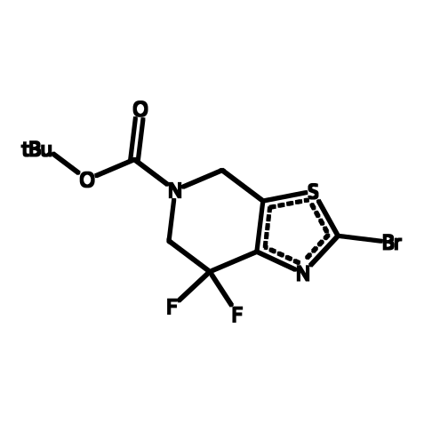 CC(C)(C)OC(=O)N1Cc2sc(Br)nc2C(F)(F)C1